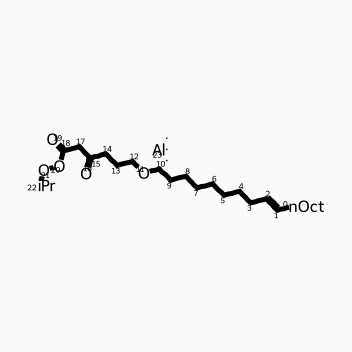 CCCCCCCCC=CCCCCCCCCOCCCC(=O)CC(=O)OOC(C)C.[Al]